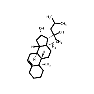 CC(C)C[C@](C)(O)[C@H]1[C@@H](O)C[C@H]2[C@@H]3CC=C4CCCC[C@]4(C)[C@H]3CC[C@@]21C